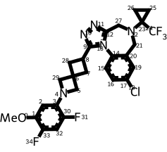 COc1cc(N2CC3(CC(c4nnc5n4-c4ccc(Cl)cc4CN(C4(C(F)(F)F)CC4)C5)C3)C2)c(F)cc1F